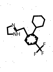 FC(F)(F)c1ccc(CC2=NCCN2)c(C2CCCCC2)c1